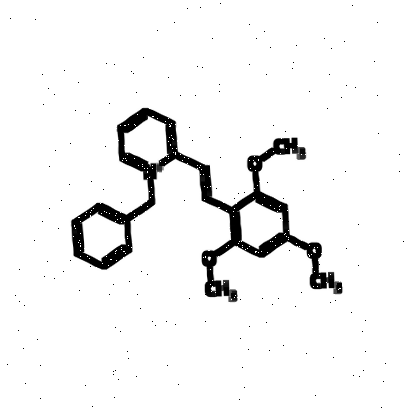 COc1cc(OC)c(/C=C/c2cccc[n+]2Cc2ccccc2)c(OC)c1